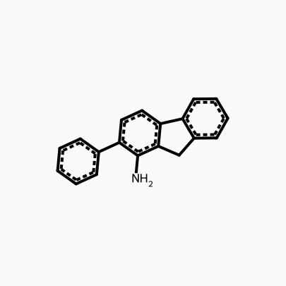 Nc1c(-c2ccccc2)ccc2c1Cc1ccccc1-2